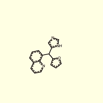 c1coc(C(c2cnc[nH]2)c2cccc3cccnc23)c1